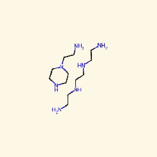 NCCN1CCNCC1.NCCNCCNCCN